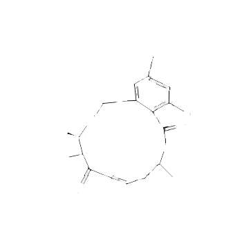 Cc1cc(O)c2c(c1)CCC[C@H](O)C(O)C(=O)/C=C\CC(C)OC2=O